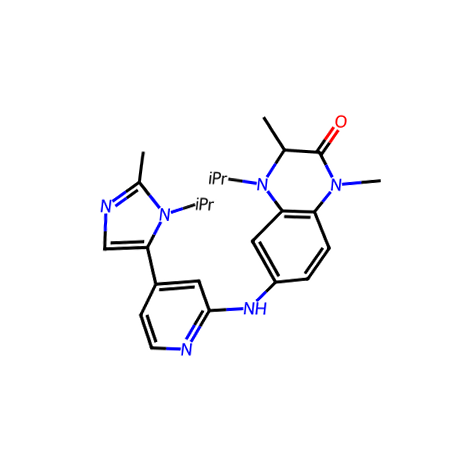 Cc1ncc(-c2ccnc(Nc3ccc4c(c3)N(C(C)C)C(C)C(=O)N4C)c2)n1C(C)C